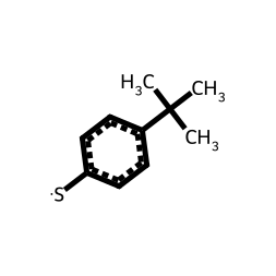 CC(C)(C)c1ccc([S])cc1